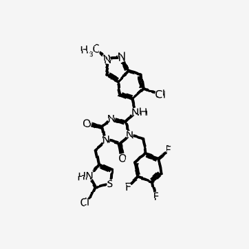 Cn1cc2cc(Nc3nc(=O)n(CC4=CSC(Cl)N4)c(=O)n3Cc3cc(F)c(F)cc3F)c(Cl)cc2n1